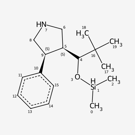 C[SiH](C)OC([C@@H]1CNC[C@@H]1c1ccccc1)C(C)(C)C